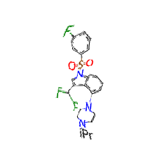 CC(C)N1CCN(c2cccc3c2c(C(F)F)cn3S(=O)(=O)c2cccc(F)c2)CC1